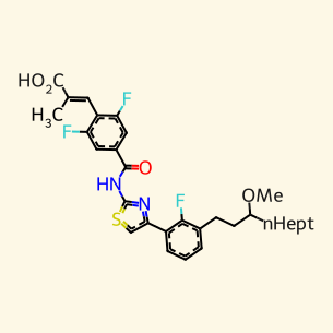 CCCCCCCC(CCc1cccc(-c2csc(NC(=O)c3cc(F)c(C=C(C)C(=O)O)c(F)c3)n2)c1F)OC